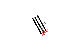 CCCCCCCCCCCCCCCCCC(=O)[O-].CCCCCCCCCCCCCCCCCC(=O)[O-].CCCCCCCCCCCCCCCCCC(=O)[O-].CO.[Al+3]